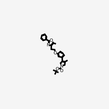 CC1=C(c2cccc(OCCc3nc(-c4ccccc4)oc3C)c2)CN(C(=O)OC(C)(C)C)C1